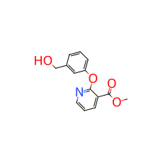 COC(=O)c1cccnc1Oc1cccc(CO)c1